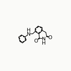 O=C1Cc2cccc(CNc3ccccc3)c2C(=O)N1